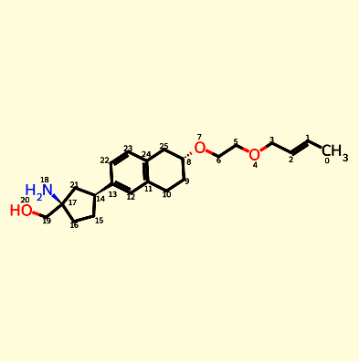 C/C=C/COCCO[C@@H]1CCc2cc([C@H]3CC[C@](N)(CO)C3)ccc2C1